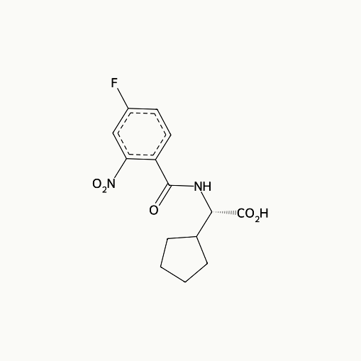 O=C(N[C@H](C(=O)O)C1CCCC1)c1ccc(F)cc1[N+](=O)[O-]